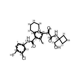 Cc1c(C(=O)Nc2ccc(F)c(Cl)c2)c2n(c1C(=O)C(=O)NC1(CO)CCC1)CCCC2